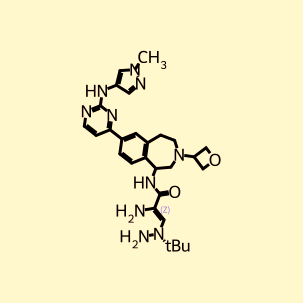 Cn1cc(Nc2nccc(-c3ccc4c(c3)CCN(C3COC3)CC4NC(=O)/C(N)=C/N(N)C(C)(C)C)n2)cn1